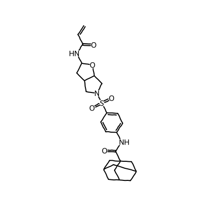 C=CC(=O)NC1CC2CN(S(=O)(=O)c3ccc(NC(=O)C45CC6CC(CC(C6)C4)C5)cc3)CC2O1